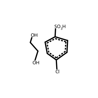 O=S(=O)(O)c1ccc(Cl)cc1.OCCO